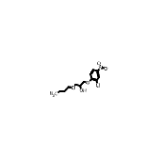 CCCCOCC(O)COc1ccc([N+](=O)[O-])cc1Cl